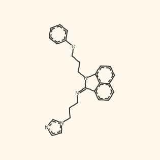 c1ccc(OCCCN2/C(=N/CCCn3ccnc3)c3cccc4cccc2c34)cc1